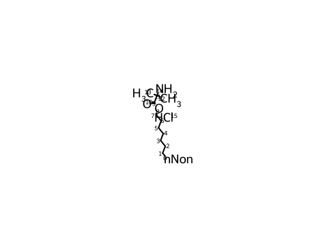 CCCCCCCCCCCCCCCCOC(=O)C(C)(C)N.Cl